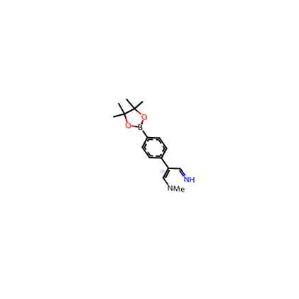 CN/C=C(\C=N)c1ccc(B2OC(C)(C)C(C)(C)O2)cc1